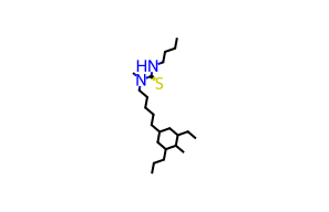 CCCCNC(=S)N(C)CCCCCC1CC(CC)C(C)C(CCC)C1